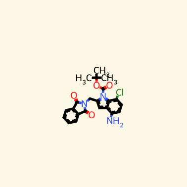 CC(C)(C)OC(=O)n1c(CN2C(=O)c3ccccc3C2=O)cc2c(N)ccc(Cl)c21